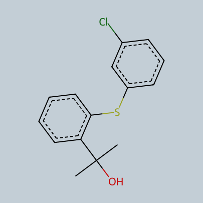 CC(C)(O)c1ccccc1Sc1cccc(Cl)c1